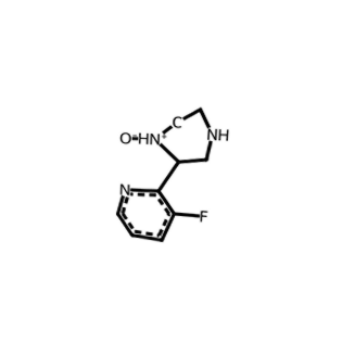 [O-][NH+]1CCNCC1c1ncccc1F